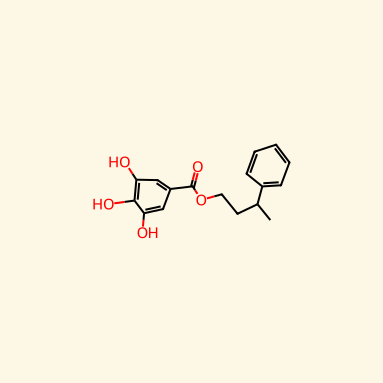 CC(CCOC(=O)c1cc(O)c(O)c(O)c1)c1ccccc1